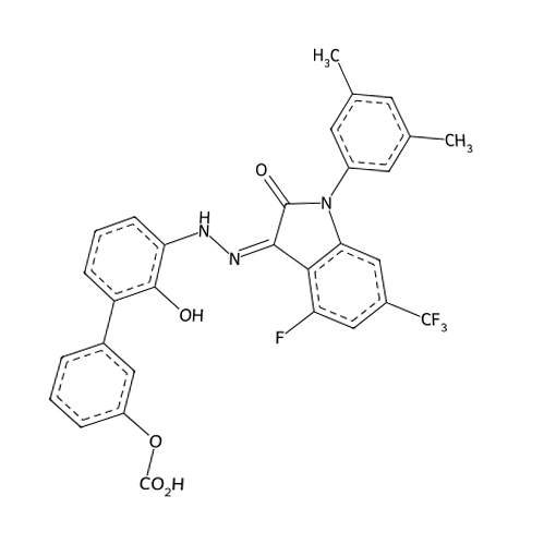 Cc1cc(C)cc(N2C(=O)C(=NNc3cccc(-c4cccc(OC(=O)O)c4)c3O)c3c(F)cc(C(F)(F)F)cc32)c1